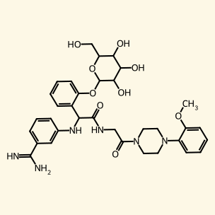 COc1ccccc1N1CCN(C(=O)CNC(=O)C(Nc2cccc(C(=N)N)c2)c2ccccc2OC2OC(CO)C(O)C(O)C2O)CC1